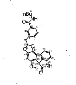 CCCCNC(=O)c1cccc(CC2Oc3cc4c(cc3O2)[C@]2(CO4)C(=O)Nc3ccccc32)c1